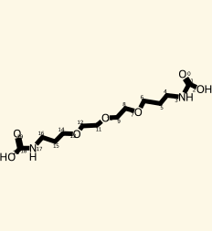 O=C(O)NCCCOCCOCCOCCCNC(=O)O